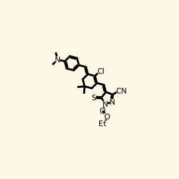 CCOON1N=C(C#N)/C(=C/C2=C(Cl)C(=C/c3ccc(N(C)C)cc3)/CC(C)(C)C2)C1=S